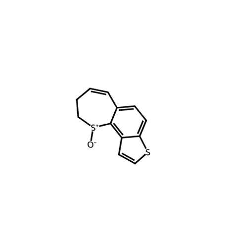 [O-][S+]1CCC=Cc2ccc3sccc3c21